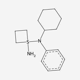 NS1(N(c2ccccc2)C2CCCCC2)CCC1